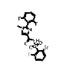 Cn1cc(C(=O)NS(=O)(=O)c2c(F)cccc2Br)nc1-c1c(F)cccc1F